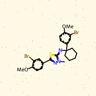 COc1ccc(-c2nn(C)c(=NC3(c4ccc(OC)c(Br)c4)CCCCC3)s2)cc1Br